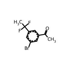 CC(=O)c1cc(Br)cc(C(C)(F)F)c1